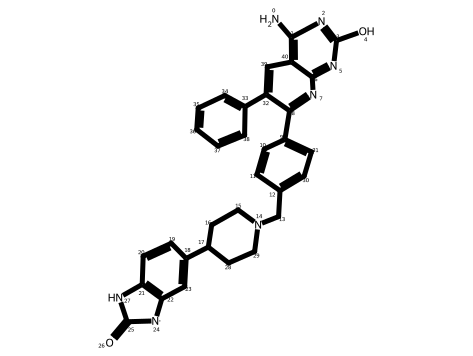 Nc1nc(O)nc2nc(-c3ccc(CN4CCC(c5ccc6c(c5)[N]C(=O)N6)CC4)cc3)c(-c3ccccc3)cc12